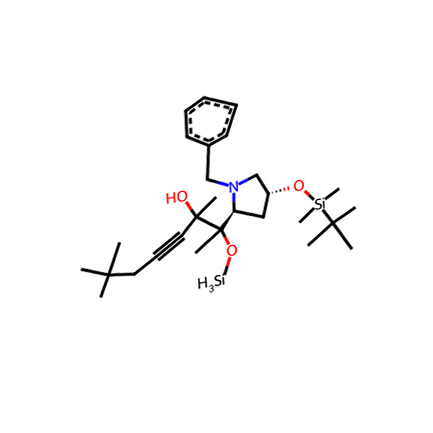 CC(C)(C)CC#CC(C)(O)C(C)(O[SiH3])[C@@H]1C[C@@H](O[Si](C)(C)C(C)(C)C)CN1Cc1ccccc1